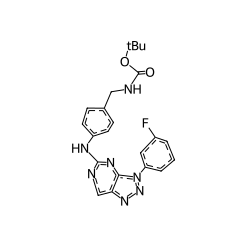 CC(C)(C)OC(=O)NCc1ccc(Nc2ncc3nnn(-c4cccc(F)c4)c3n2)cc1